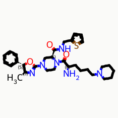 C[C@@H]1N=C(N2CCN(C(=O)[C@H](N)CCCCN3CCCCC3)[C@H](C(=O)NCc3cccs3)C2)O[C@H]1c1ccccc1